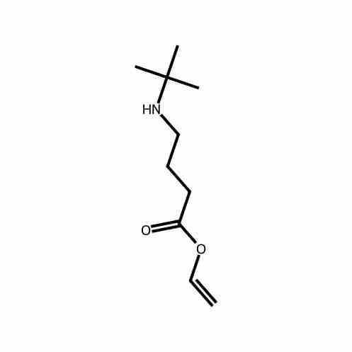 C=COC(=O)CCCNC(C)(C)C